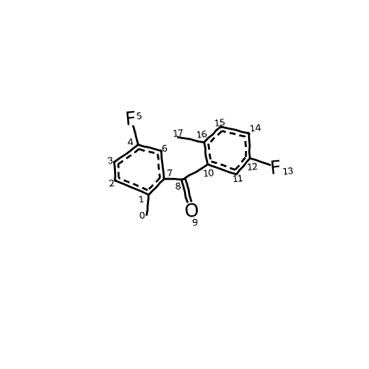 Cc1ccc(F)cc1C(=O)c1cc(F)ccc1C